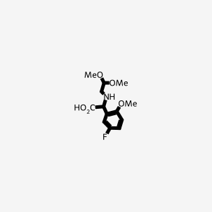 COc1ccc(F)cc1C(NCC(OC)OC)C(=O)O